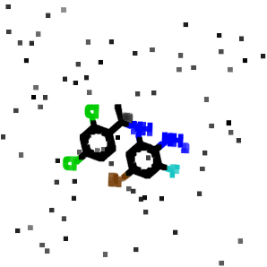 C[C@@H](Nc1cc(Br)cc(F)c1N)c1ccc(Cl)cc1Cl